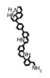 C/C=C\C1=C(N)C2NC=CC(c3ccc(C4=CC5NC(c6ccc7c(c6)NC(c6cccc(/C=C\N)c6C)C=C7)=CC=C5C=C4)cc3)=C2C=C1